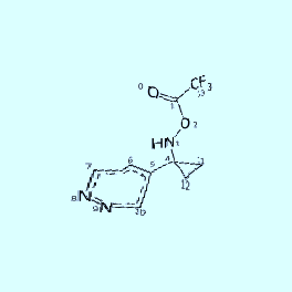 O=C(ONC1(c2ccnnc2)CC1)C(F)(F)F